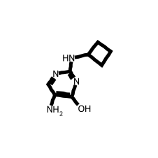 Nc1cnc(NC2CCC2)nc1O